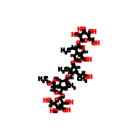 C/C=C1/[C@H](O[C@@H]2O[C@H](CO)[C@@H](O)[C@H](O)[C@H]2O)OC=C(C(=O)O)[C@H]1CC(=O)O[C@H]1C[C@@H]([C@@H](C)CO)[C@H](COC(=O)C[C@@H]2C(C(=O)OC)=CO[C@@H](O[C@@H]3O[C@H](CO)[C@@H](O)[C@H](O)[C@H]3O)/C2=C/C)[C@H]1C